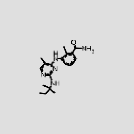 CCC(C)(C)Nc1ncc(C)c(Nc2cccc(C(N)=O)c2C)n1